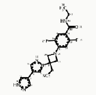 N#CCC1(n2cc(-c3cn[nH]c3)cn2)CN(c2cc(F)c(C(=O)NCC(F)(F)F)cc2F)C1